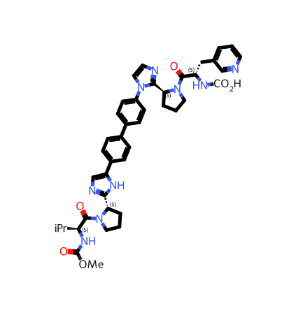 COC(=O)N[C@H](C(=O)N1CCC[C@H]1c1ncc(-c2ccc(-c3ccc(-n4ccnc4[C@@H]4CCCN4C(=O)[C@H](Cc4cccnc4)NC(=O)O)cc3)cc2)[nH]1)C(C)C